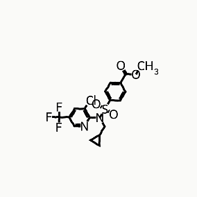 COC(=O)c1ccc(S(=O)(=O)N(CC2CC2)c2ncc(C(F)(F)F)cc2Cl)cc1